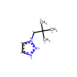 CC(C)(C)Cn1ccnn1